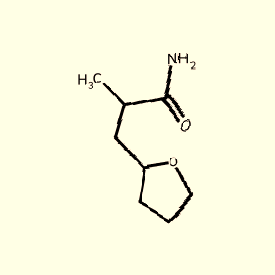 CC(CC1CCCO1)C(N)=O